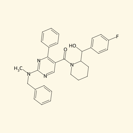 CN(Cc1ccccc1)c1ncc(C(=O)N2CCCCC2C(O)c2ccc(F)cc2)c(-c2ccccc2)n1